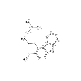 CCCc1c(CC)ccc2sc3ccccc3c12.CN(C)C